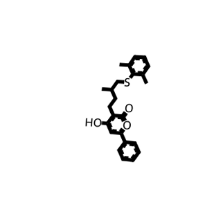 Cc1cccc(C)c1SCC(C)CCc1c(O)cc(-c2ccccc2)oc1=O